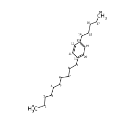 CCCCCCCCCCc1ccc(CCCCC)cc1